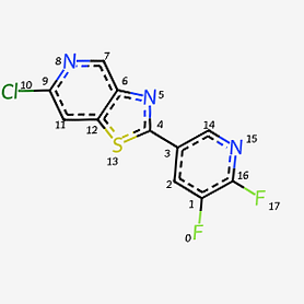 Fc1cc(-c2nc3cnc(Cl)cc3s2)cnc1F